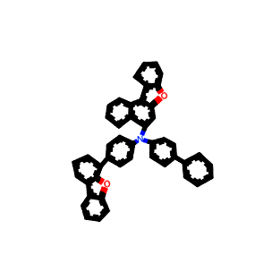 c1ccc(-c2ccc(N(c3ccc(-c4cccc5c4oc4ccccc45)cc3)c3cc4oc5ccccc5c4c4ccccc34)cc2)cc1